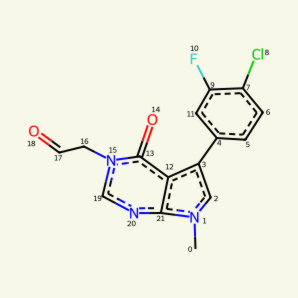 Cn1cc(-c2ccc(Cl)c(F)c2)c2c(=O)n(CC=O)cnc21